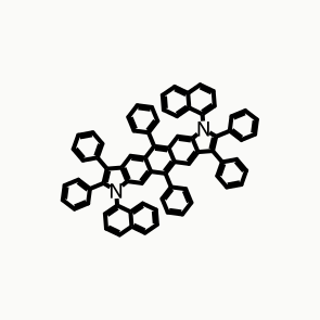 c1ccc(-c2c3cc4c(-c5ccccc5)c(-c5ccccc5)n(-c5cccc6ccccc56)c4cc3c(-c3ccccc3)c3cc4c(-c5ccccc5)c(-c5ccccc5)n(-c5cccc6ccccc56)c4cc23)cc1